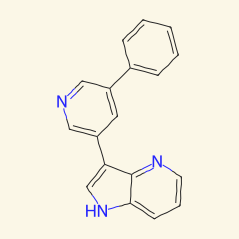 c1ccc(-c2cncc(-c3c[nH]c4cccnc34)c2)cc1